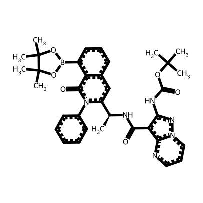 C[C@H](NC(=O)c1c(NC(=O)OC(C)(C)C)nn2cccnc12)c1cc2cccc(B3OC(C)(C)C(C)(C)O3)c2c(=O)n1-c1ccccc1